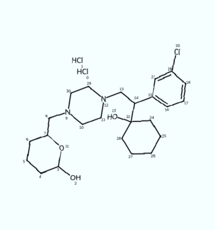 Cl.Cl.OC1CCCC(CN2CCN(CC(c3cccc(Cl)c3)C3(O)CCCCC3)CC2)O1